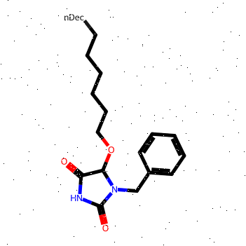 CCCCCCCCCCCCCCCCOC1C(=O)NC(=O)N1Cc1ccccc1